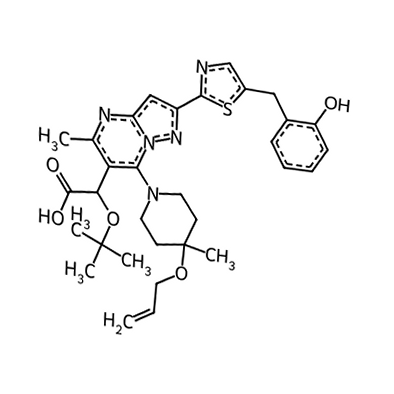 C=CCOC1(C)CCN(c2c(C(OC(C)(C)C)C(=O)O)c(C)nc3cc(-c4ncc(Cc5ccccc5O)s4)nn23)CC1